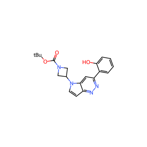 CC(C)(C)OC(=O)N1CC(n2ccc3nnc(-c4ccccc4O)cc32)C1